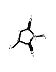 O=C1CC(Cl)C(=O)N1Br